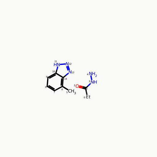 CCC(=O)NN.Cc1cccc2[nH]nnc12